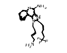 NC/C=C/Cn1c(CCCC(F)(F)F)nc2c(N)nc3ccccc3c21